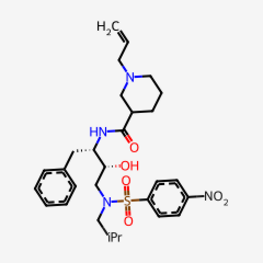 C=CCN1CCCC(C(=O)N[C@@H](Cc2ccccc2)[C@H](O)CN(CC(C)C)S(=O)(=O)c2ccc([N+](=O)[O-])cc2)C1